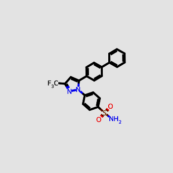 NS(=O)(=O)c1ccc(-n2nc(C(F)(F)F)cc2-c2ccc(-c3ccccc3)cc2)cc1